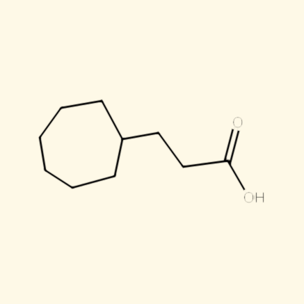 O=C(O)CCC1CCCCCC1